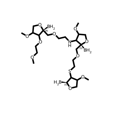 B[C@@H]1OCC(OC)C1SCCOC[C@@]1(B)OCC(OC)C1NCCOC[C@@]1(B)OCC(OC)C1OCCOC